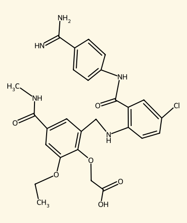 CCOc1cc(C(=O)NC)cc(CNc2ccc(Cl)cc2C(=O)Nc2ccc(C(=N)N)cc2)c1OCC(=O)O